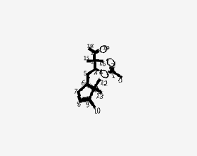 CC(=O)OC(CC1CC=C(C)C1(C)C)C(C)(C)C(C)=O